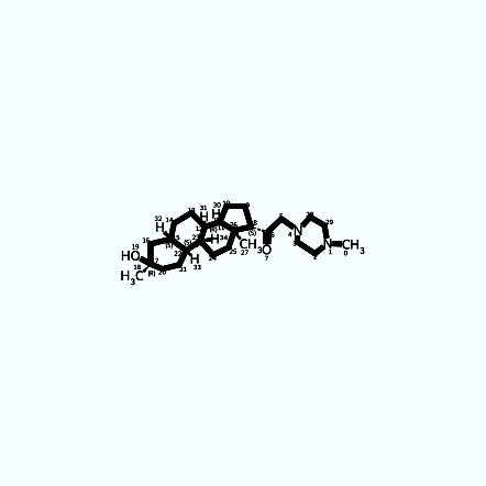 CN1CCN(CC(=O)[C@H]2CC[C@H]3[C@@H]4CC[C@H]5C[C@](C)(O)CC[C@@H]5[C@H]4CC[C@]23C)CC1